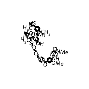 CNc1nc(Nc2ccc(C(=O)N3CCN(CCOCCOCCSC(C)(C)C(NC(=O)C4(F)CC4)C(=O)N4C[C@H](O)C[C@H]4C(=O)NC(C)c4ccc(-c5scnc5C)cc4)CC3)cc2OC)ncc1Cl